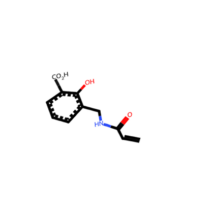 C=CC(=O)NCc1cccc(C(=O)O)c1O